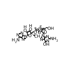 C#C[C@]1(COP(O)(=S)OC2[C@@H](F)[C@@H](CO)O[C@H]2n2cnc3c(=O)[nH]c(N)nc32)O[C@@H](n2cnc3c(N)ncnc32)[C@H](O)[C@@H]1O